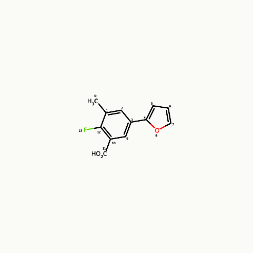 Cc1cc(-c2ccco2)cc(C(=O)O)c1F